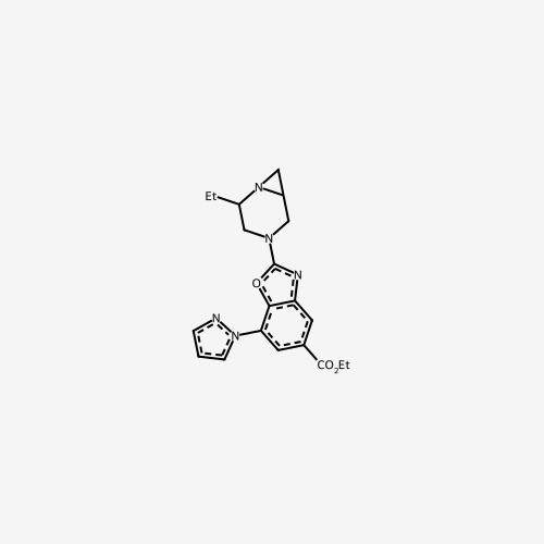 CCOC(=O)c1cc(-n2cccn2)c2oc(N3CC(CC)N4CC4C3)nc2c1